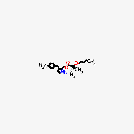 CCCCCOC1C(C(=O)OCc2[nH]ccc2Cc2ccc(C)cc2)C1(C)C